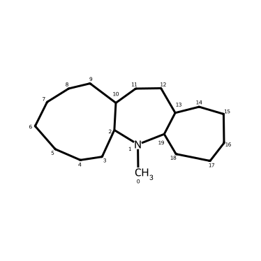 CN1C2CCCCCCCC2CCC2CCCCCC21